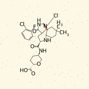 CC1(C)CCC2(CC1)N[C@@H](C(=O)N[C@@H]1CC[C@@H](C(=O)O)OC1)[C@H](c1cccc(Cl)c1F)[C@]21C(=O)Nc2cc(Cl)ncc21